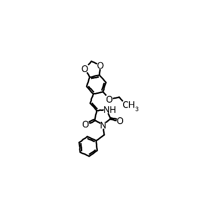 CCOc1cc2c(cc1/C=C1\NC(=O)N(Cc3ccccc3)C1=O)OCO2